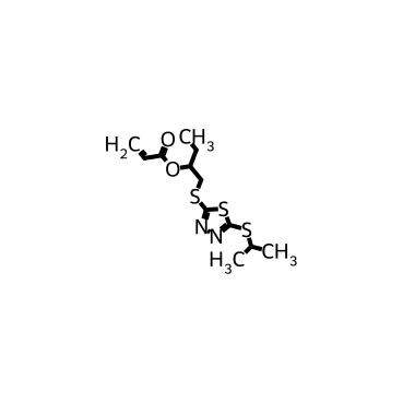 C=CC(=O)OC(CC)CSc1nnc(SC(C)C)s1